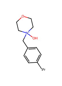 CC(C)c1ccc(C[N+]2(O)CCOCC2)cc1